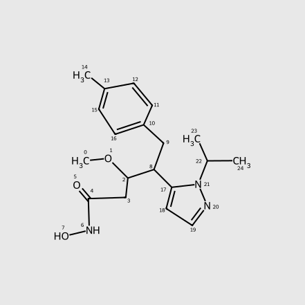 COC(CC(=O)NO)C(Cc1ccc(C)cc1)c1ccnn1C(C)C